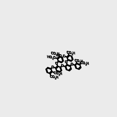 O=C(O)c1cccc(Oc2cccc(Oc3cccc(Oc4cccc(C(=O)O)c4C(=O)O)c3Oc3cccc(C(=O)O)c3C(=O)O)c2Oc2cccc(C(=O)O)c2C(=O)O)c1C(=O)O